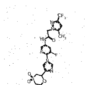 Cc1cc(C(F)(F)F)nn1CC(=O)Nc1cnc(-n2cnc(C3CS(=O)(=O)CCO3)c2)c(F)c1